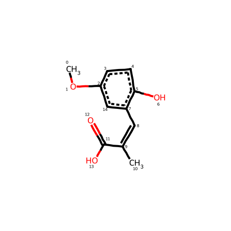 COc1ccc(O)c(C=C(C)C(=O)O)c1